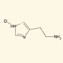 NCCC1=C[NH+]([O-])C=N1